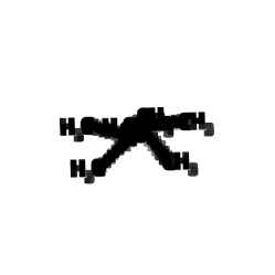 CCCCCCCCCCCCCCN(CCCCCCCCCCCCCC)CN1C(=O)N(CN(CCCCCCCCCCCCCC)CCCCCCCCCCCCCC)C(C)(CCC=C(C)C)C1=O